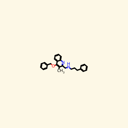 Cc1c(CNCCCc2ccccc2)nc2ccccc2c1OCc1ccccc1